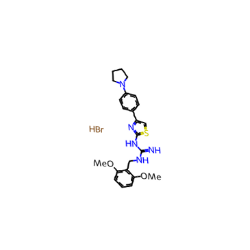 Br.COc1cccc(OC)c1CNC(=N)Nc1nc(-c2ccc(N3CCCC3)cc2)cs1